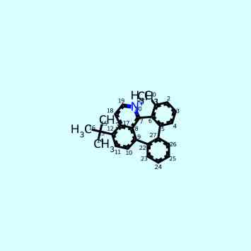 Cc1cccc2c1-c1c3c(ccc(C(C)(C)C)c3cc[n+]1C)-c1ccccc1-2